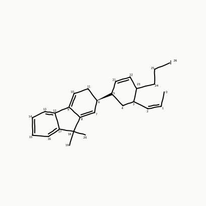 C/C=C\C1CC([C@H]2C=C3C(=CC2)c2ccccc2C3(C)C)C=CC1CCI